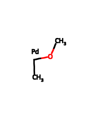 CCOC.[Pd]